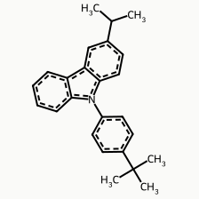 CC(C)c1ccc2c(c1)c1ccccc1n2-c1ccc(C(C)(C)C)cc1